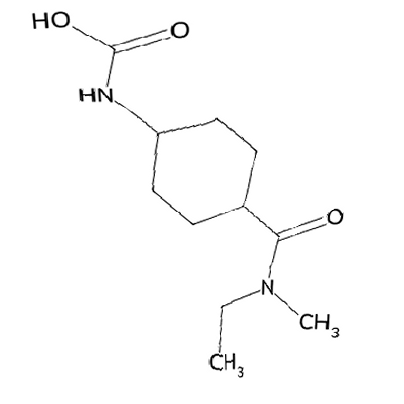 CCN(C)C(=O)C1CCC(NC(=O)O)CC1